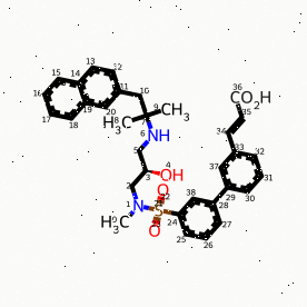 CN(C[C@H](O)CNC(C)(C)Cc1ccc2ccccc2c1)S(=O)(=O)c1cccc(-c2cccc(C=CC(=O)O)c2)c1